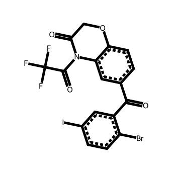 O=C(c1ccc2c(c1)N(C(=O)C(F)(F)F)C(=O)CO2)c1cc(I)ccc1Br